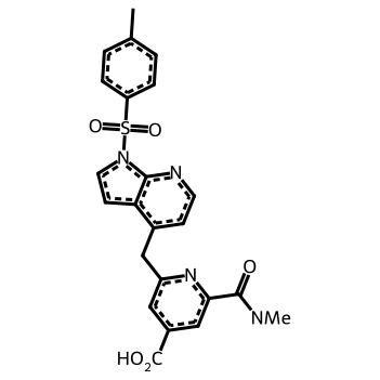 CNC(=O)c1cc(C(=O)O)cc(Cc2ccnc3c2ccn3S(=O)(=O)c2ccc(C)cc2)n1